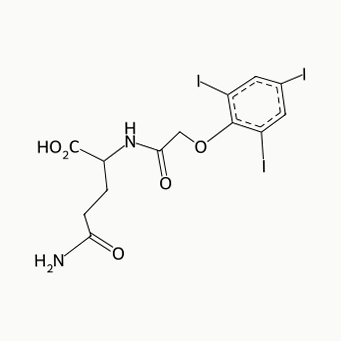 NC(=O)CCC(NC(=O)COc1c(I)cc(I)cc1I)C(=O)O